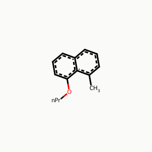 CCCOc1cccc2cccc(C)c12